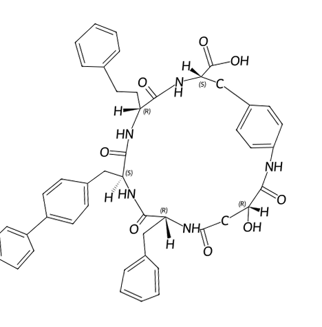 O=C1C[C@@H](O)C(=O)Nc2ccc(cc2)C[C@@H](C(=O)O)NC(=O)[C@@H](CCc2ccccc2)NC(=O)[C@H](Cc2ccc(-c3ccccc3)cc2)NC(=O)[C@@H](Cc2ccccc2)N1